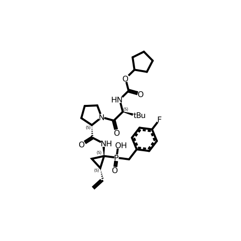 C=C[C@@H]1C[C@]1(NC(=O)[C@@H]1CCCN1C(=O)[C@@H](NC(=O)OC1CCCC1)C(C)(C)C)P(=O)(O)Cc1ccc(F)cc1